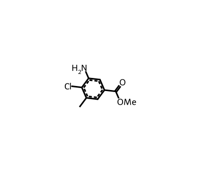 COC(=O)c1cc(C)c(Cl)c(N)c1